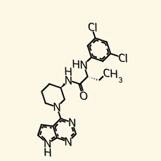 CC[C@@H](Nc1cc(Cl)cc(Cl)c1)C(=O)N[C@@H]1CCCN(c2ncnc3[nH]ccc23)C1